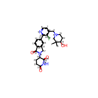 CC1(C)CN(Cc2ccnc(-c3ccc4c(c3)CN(C3CCC(=O)NC3=O)C4=O)c2F)CCC1O